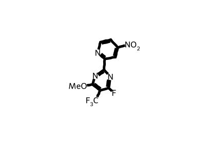 COc1nc(-c2cc([N+](=O)[O-])ccn2)nc(F)c1C(F)(F)F